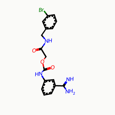 N=C(N)c1cccc(NC(=O)OCC(=O)NCc2cccc(Br)c2)c1